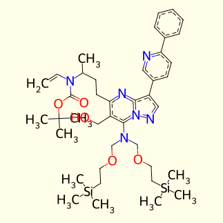 C=CN(C(=O)OC(C)(C)C)C(C)CCc1nc2c(-c3ccc(-c4ccccc4)nc3)cnn2c(N(COCC[Si](C)(C)C)COCC[Si](C)(C)C)c1CO